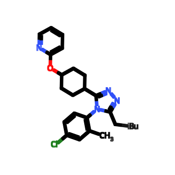 CCC(C)Cc1nnc(C2CCC(Oc3ccccn3)CC2)n1-c1ccc(Cl)cc1C